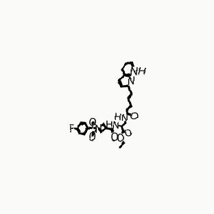 CCOC(=O)C(CNC(=O)CCCCc1ccc2c(n1)NCCC2)NC(=O)C1CN(S(=O)(=O)c2ccc(F)cc2)C1